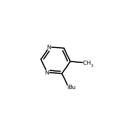 CCC(C)c1ncncc1C